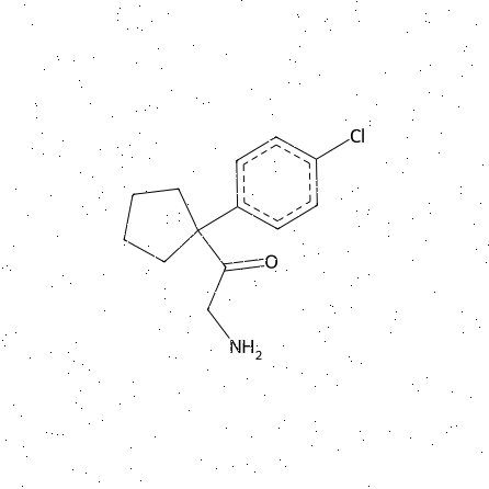 NCC(=O)C1(c2ccc(Cl)cc2)CCCC1